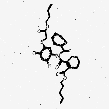 CCCCCOC(=O)C1=C(C(=O)N(C(=O)c2ccccc2)c2cc(SCC(=O)OCCCC)c(Cl)cc2F)CCCC1